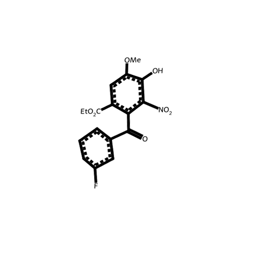 CCOC(=O)c1cc(OC)c(O)c([N+](=O)[O-])c1C(=O)c1cccc(F)c1